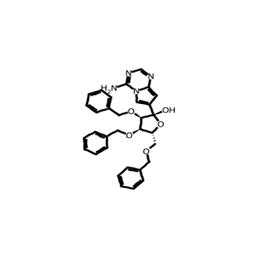 Nc1ncnc2cc([C@]3(O)O[C@H](COCc4ccccc4)[C@@H](OCc4ccccc4)[C@H]3OCc3ccccc3)cn12